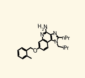 CCCc1nc2c(N)nc3cc(OCc4ccccc4C)ccc3c2n1CC(C)C